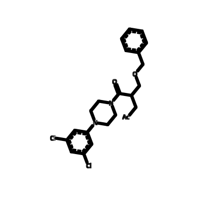 CC(=O)CC(COCc1ccccc1)C(=O)N1CCN(c2cc(Cl)cc(Cl)c2)CC1